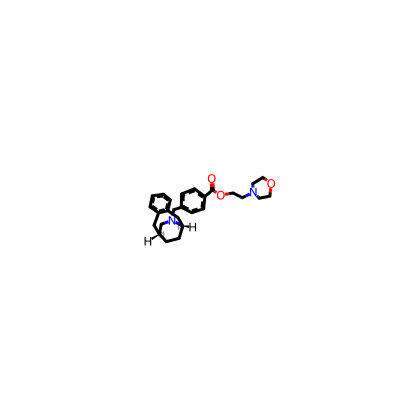 O=C(OCCN1CCOCC1)c1ccc(CN2C[C@@H]3CC[C@H]2Cc2ccccc2C3)cc1